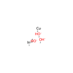 [Cu].[In+3].[OH-].[OH-].[OH-]